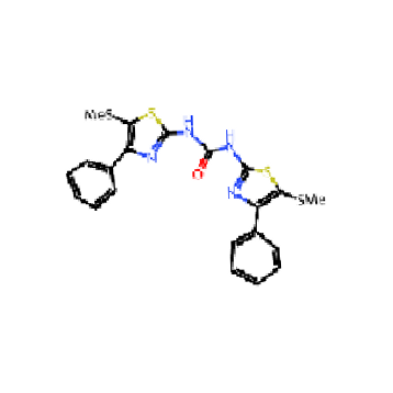 CSc1sc(NC(=O)Nc2nc(-c3ccccc3)c(SC)s2)nc1-c1ccccc1